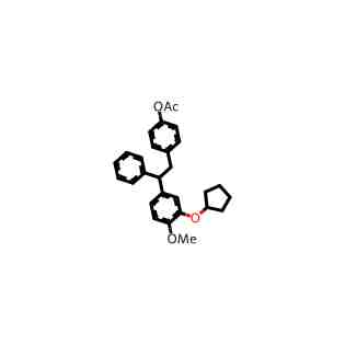 COc1ccc(C(Cc2ccc(OC(C)=O)cc2)c2ccccc2)cc1OC1CCCC1